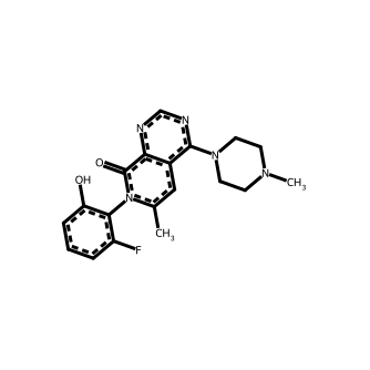 Cc1cc2c(N3CCN(C)CC3)ncnc2c(=O)n1-c1c(O)cccc1F